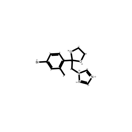 Cc1cc(Br)ccc1C1(Cn2cncn2)OCCO1